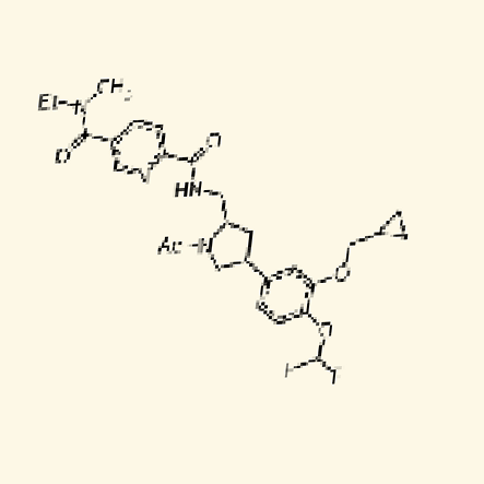 CCN(C)C(=O)c1ccc(C(=O)NCC2CC(c3ccc(OC(F)F)c(OCC4CC4)c3)CN2C(C)=O)nc1